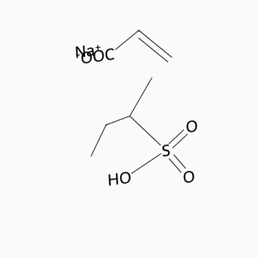 C=CC(=O)[O-].CCC(C)S(=O)(=O)O.[Na+]